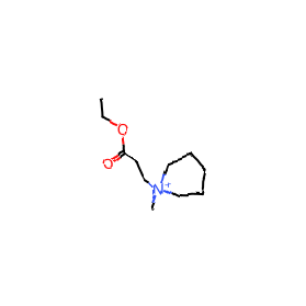 CCOC(=O)CC[N+]1(C)CCCCC1